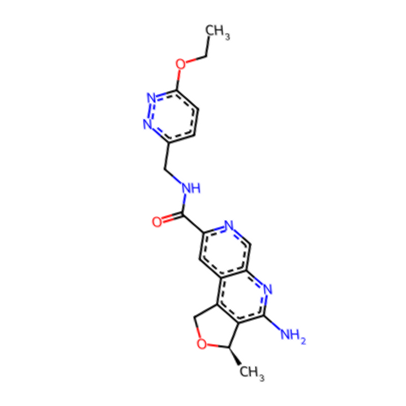 CCOc1ccc(CNC(=O)c2cc3c4c(c(N)nc3cn2)[C@@H](C)OC4)nn1